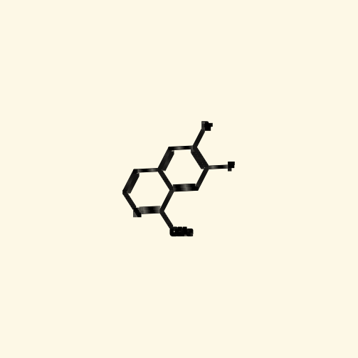 COc1nccc2cc(Br)c(F)cc12